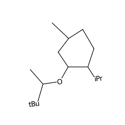 CC1CCC(C(C)C)C(OC(C)C(C)(C)C)C1